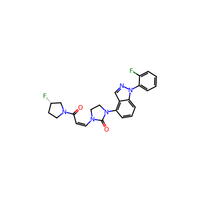 O=C(/C=C\N1CCN(c2cccc3c2cnn3-c2ccccc2F)C1=O)N1CC[C@H](F)C1